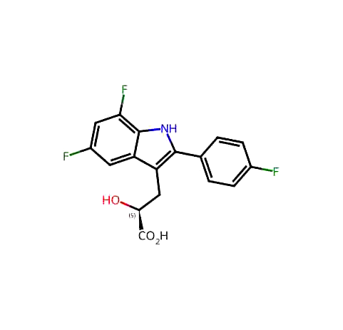 O=C(O)[C@@H](O)Cc1c(-c2ccc(F)cc2)[nH]c2c(F)cc(F)cc12